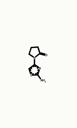 Nc1nc(N2CCCC2=O)cs1